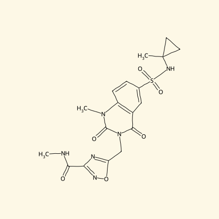 CNC(=O)c1noc(Cn2c(=O)c3cc(S(=O)(=O)NC4(C)CC4)ccc3n(C)c2=O)n1